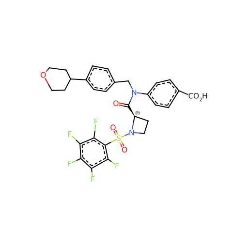 O=C(O)c1ccc(N(Cc2ccc(C3CCOCC3)cc2)C(=O)[C@H]2CCN2S(=O)(=O)c2c(F)c(F)c(F)c(F)c2F)cc1